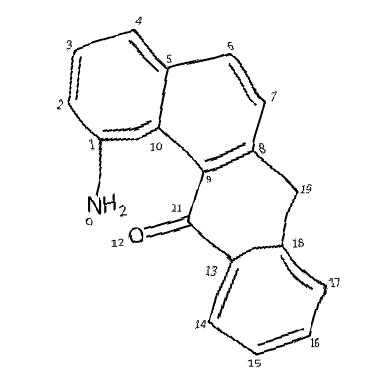 Nc1cccc2ccc3c(c12)C(=O)c1ccccc1C3